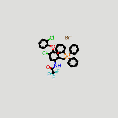 O=C(Nc1cc(Cl)c(Oc2ccccc2Cl)cc1C[P+](c1ccccc1)(c1ccccc1)c1ccccc1)C(F)(F)F.[Br-]